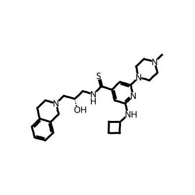 CN1CCN(c2cc(C(=S)NC[C@H](O)CN3CCc4ccccc4C3)cc(NC3CCC3)n2)CC1